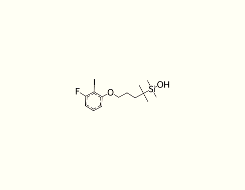 CC(C)(CCCOc1cccc(F)c1I)[Si](C)(C)O